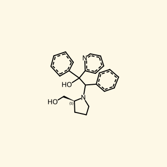 OC[C@@H]1CCCN1C(c1ccccc1)C(O)(c1ccccc1)c1ccccn1